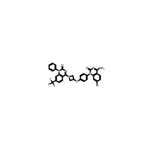 Nc1nc(=O)n(-c2ccc(OC3CN(c4nc(=O)n(-c5ccccc5)c5cc(C(F)(F)F)ccc45)C3)cc2)c2cc(Br)ccc12